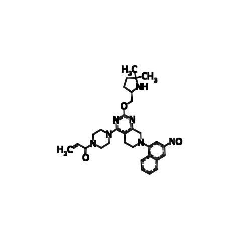 C=CC(=O)N1CCN(c2nc(OC[C@H]3CCC(C)(C)N3)nc3c2CCN(c2cc(N=O)cc4ccccc24)C3)CC1